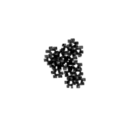 c1ccc([Si](c2ccccc2)(c2ccccc2)c2cccc(N3c4ccccc4B4c5ccc([Si](c6ccccc6)(c6ccccc6)c6ccccc6)cc5N(c5cccc([Si](c6ccccc6)(c6ccccc6)c6ccccc6)c5)c5cc(-n6c7ccccc7c7ccccc76)cc3c54)c2)cc1